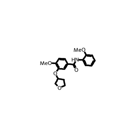 COc1ccccc1NC(=O)c1ccc(OC)c(OC2CCOC2)c1